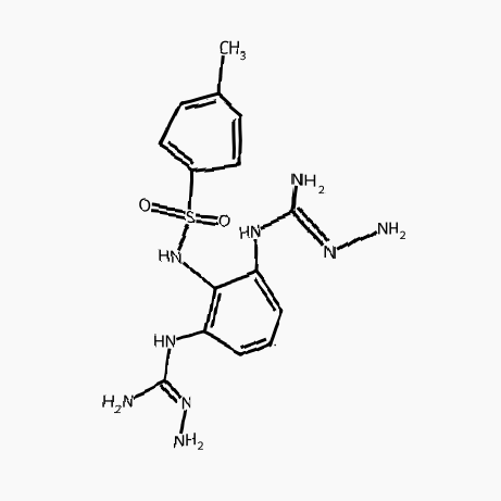 Cc1ccc(S(=O)(=O)Nc2c(NC(N)=NN)c[c]cc2NC(N)=NN)cc1